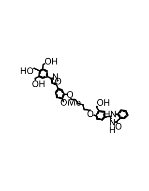 COc1ccc(-c2cc(-c3cc(CO)c(CO)c(CO)c3)no2)cc1OCCCCCCOc1ccc(C2NC(=O)c3ccccc3N2)cc1CO